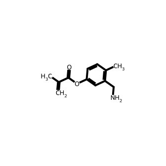 C=C(C)C(=O)Oc1ccc(C)c(CN)c1